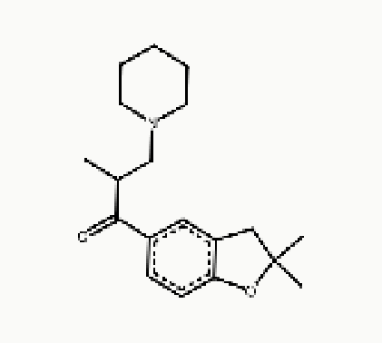 CC(CN1CCCCC1)C(=O)c1ccc2c(c1)CC(C)(C)O2